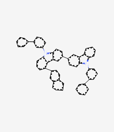 c1ccc(-c2cccc(-n3c4ccccc4c4cc(-c5ccc6c(c5)c5c(-c7ccc8ccccc8c7)cccc5n6-c5cccc(-c6ccccc6)c5)ccc43)c2)cc1